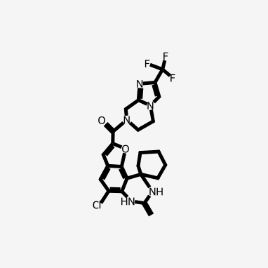 C=C1Nc2c(Cl)cc3cc(C(=O)N4CCn5cc(C(F)(F)F)nc5C4)oc3c2C2(CCCCC2)N1